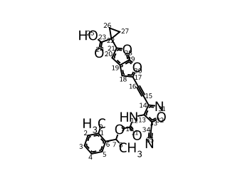 Cc1ccccc1C(C)OC(=O)Nc1c(C#Cc2cc3cc(C4(C(=O)O)CC4)oc3o2)noc1C#N